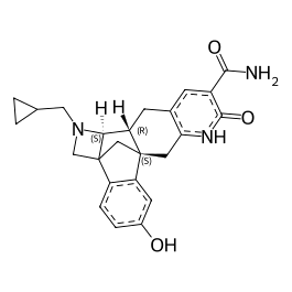 NC(=O)c1cc2c([nH]c1=O)C[C@@]13CC4(CN(CC5CC5)[C@H]4[C@@H]1C2)c1ccc(O)cc13